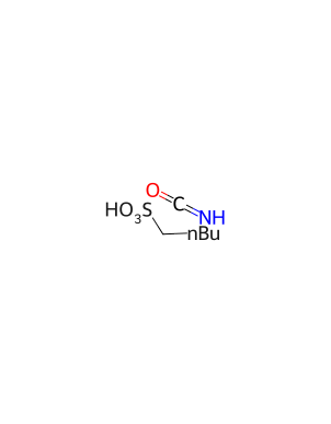 CCCCCS(=O)(=O)O.N=C=O